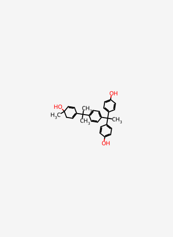 CC1(O)C=CC(C(C)(C)c2ccc(C(C)(c3ccc(O)cc3)c3ccc(O)cc3)cc2)=CC1